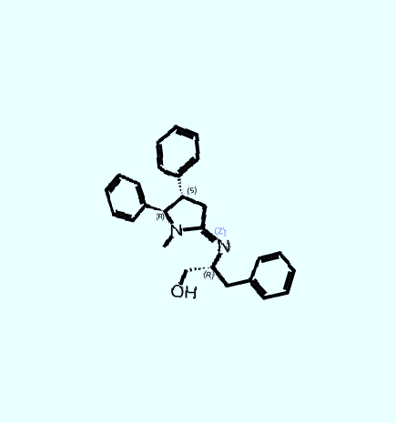 CN1/C(=N\[C@@H](CO)Cc2ccccc2)C[C@@H](c2ccccc2)[C@@H]1c1ccccc1